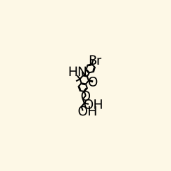 CC1(C)c2ccc(OCC(O)CO)cc2C(=O)c2c1[nH]c1cc(Br)ccc21